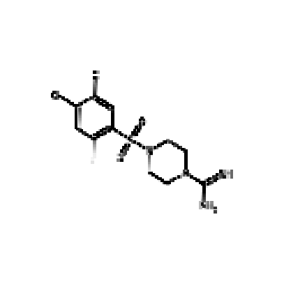 N=C(N)N1CCN(S(=O)(=O)c2cc(Cl)c(Cl)cc2Cl)CC1